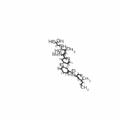 C=C/C=C(C)\C=C(/CF)NC(=O)C1=CC[C@H](F)[C@H](O[C@@H]2C=CN=C(/C(=C/C(=C)[C@@H](O)NCC(O)O)NC)C2)C1